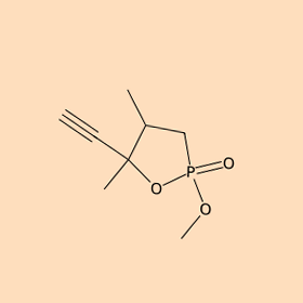 C#CC1(C)OP(=O)(OC)CC1C